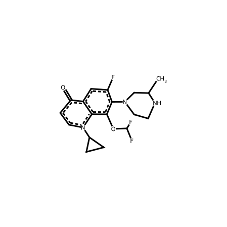 CC1CN(c2c(F)cc3c(=O)ccn(C4CC4)c3c2OC(F)F)CCN1